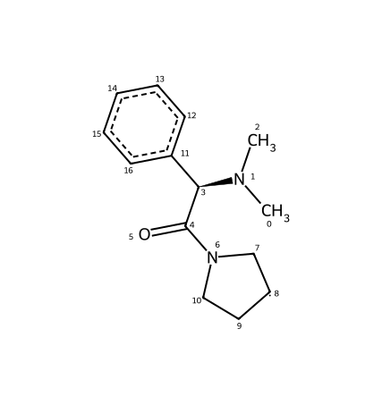 CN(C)[C@@H](C(=O)N1C[CH]CC1)c1ccccc1